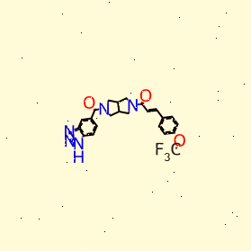 O=C(/C=C/c1ccc(OC(F)(F)F)cc1)N1CC2CN(C(=O)c3ccc4[nH]nnc4c3)CC2C1